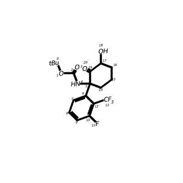 CC(C)(C)OC(=O)NC1(c2cccc(F)c2C(F)(F)F)CCCC(O)C1=O